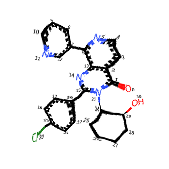 O=c1c2ccnc(-c3cccnc3)c2nc(-c2ccc(Cl)cc2)n1[C@@H]1CCCC[C@@H]1O